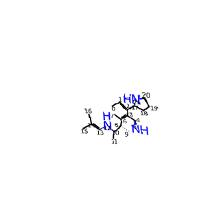 C/C=C(\C(C=N)=C(C)[C@H](C)[C@@H](C)NC=C(C)C)C1CCCN1